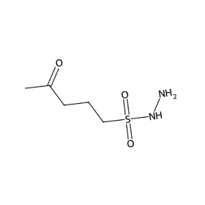 CC(=O)CCCS(=O)(=O)NN